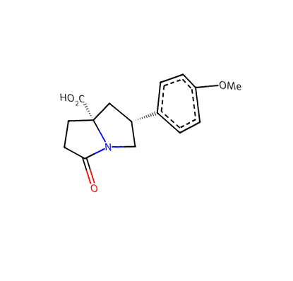 COc1ccc([C@@H]2CN3C(=O)CC[C@@]3(C(=O)O)C2)cc1